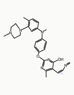 C=N/C=C\c1c(C)nc(Oc2ccc(N(C)c3ccc(C)c(N4CCN(C)CC4)c3)cc2)nc1O